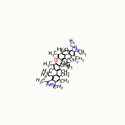 Cc1c(C)c(-c2c(C)c(C)c3c(c(C)nn3C)c2C)c(C)c(C)c1Oc1c(C)c(C)c(-c2c(C)c(C)c3c(c(C)nn3C)c2C)c(C)c1C